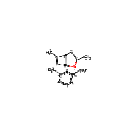 CC1CC2=C(CC2C)O1.O=C(O)c1cccc(C(=O)O)c1